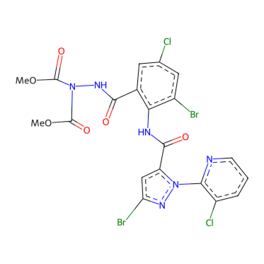 COC(=O)N(NC(=O)c1cc(Cl)cc(Br)c1NC(=O)c1cc(Br)nn1-c1ncccc1Cl)C(=O)OC